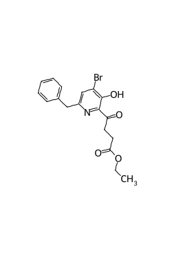 CCOC(=O)CCC(=O)c1nc(Cc2ccccc2)cc(Br)c1O